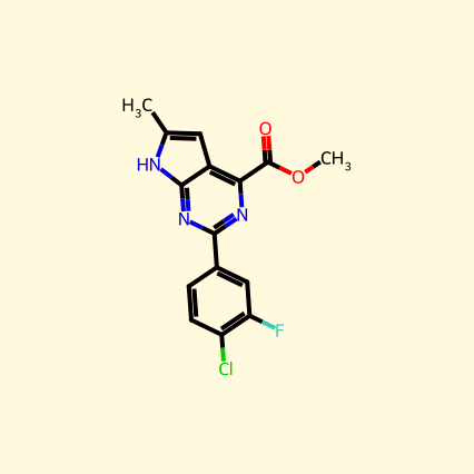 COC(=O)c1nc(-c2ccc(Cl)c(F)c2)nc2[nH]c(C)cc12